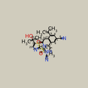 CC(C)c1cc(C#N)cc(C(C)C)c1CC(=O)N=S(=O)(NC#N)c1ncc(C(C)(C)O)s1